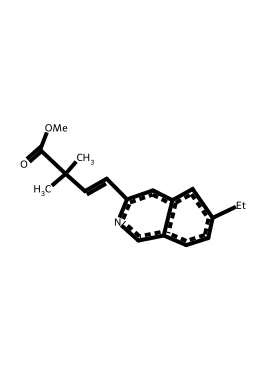 CCc1ccc2cnc(/C=C/C(C)(C)C(=O)OC)cc2c1